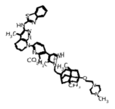 C/C(NCC1CC2(C)CC3(OCCN4CCN(C)CC4)CC4(C)CC1CC243)=C(/C=N)c1ccc(N2CCCc3c2nnc(Nc2nc4ccccc4s2)c3C)nc1C(=O)O